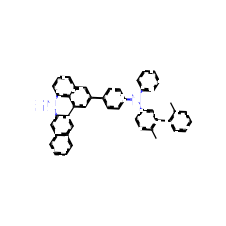 Cc1ccccc1-c1cc(N(c2ccccc2)c2ccc(-c3cc4c5c(cccc5c3)Nc3cc5ccccc5cc3-4)cc2)ccc1C